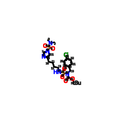 CN(C)S(=O)(=O)n1cnc(CCCCNS(=O)(=O)N(Cc2ccc(Cl)cc2)C(=O)OC(C)(C)C)c1